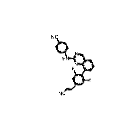 N#CC=Cc1cc(F)c(-c2cccc3cnc(Nc4ccc(C#N)cc4)nc23)c(F)c1